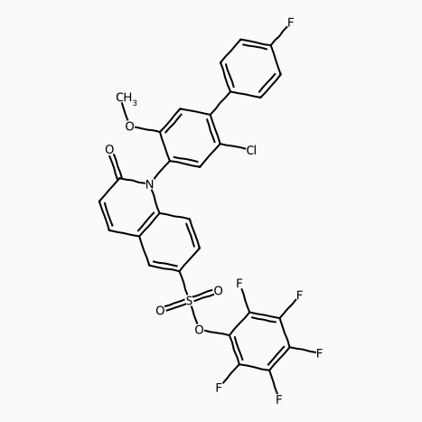 COc1cc(-c2ccc(F)cc2)c(Cl)cc1-n1c(=O)ccc2cc(S(=O)(=O)Oc3c(F)c(F)c(F)c(F)c3F)ccc21